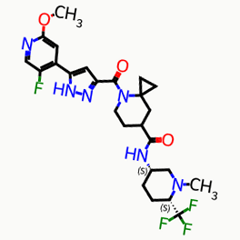 COc1cc(-c2cc(C(=O)N3CCC(C(=O)N[C@H]4CC[C@@H](C(F)(F)F)N(C)C4)CC34CC4)n[nH]2)c(F)cn1